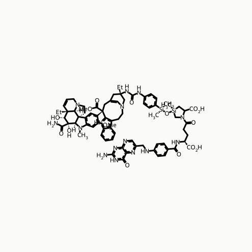 CC[C@]1(NC(=O)Nc2ccc([Si](C)(C)O[Si]3(C)CC(C(=O)O)N(C(=O)CC[C@H](NC(=O)c4ccc(NCc5cnc6nc(N)[nH]c(=O)c6n5)cc4)C(=O)O)C3)cc2)CC2=CN(CCc3c([nH]c4ccccc34)[C@@](C(=O)OC)(c3cc4c(cc3OC)N(C)[C@H]3[C@@](O)(C(N)=O)[C@H](O)[C@]5(CC)C=CCN6CC[C@]43[C@H]65)C2)C1